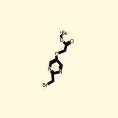 CC(C)(C)OC(=O)COc1cnc(CBr)nc1